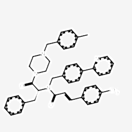 Cc1ccc(CN2CCN(C(=O)[C@H](Cc3ccccc3)N(Cc3ccc(-c4ccccn4)cc3)C(=O)/C=C/c3ccc(C(F)(F)F)cc3)CC2)cc1